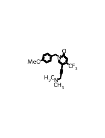 COc1ccc(Cn2cc(C#CCN(C)C)c(C(F)(F)F)cc2=O)cc1